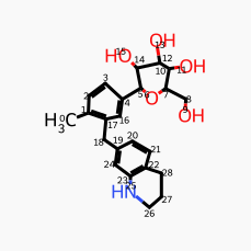 Cc1ccc(C2OC(CO)C(O)C(O)C2O)cc1Cc1ccc2c(c1)NCCC2